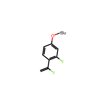 C=C(F)c1ccc(OC(C)(C)C)cc1F